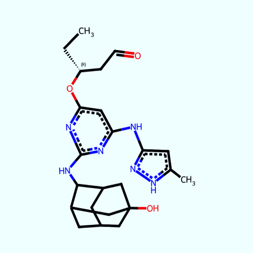 CC[C@H](CC=O)Oc1cc(Nc2cc(C)[nH]n2)nc(NC2C3CC4CC2CC(O)(C4)C3)n1